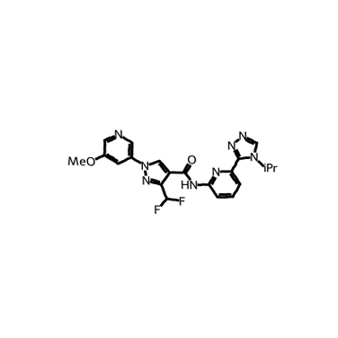 COc1cncc(-n2cc(C(=O)Nc3cccc(-c4nncn4C(C)C)n3)c(C(F)F)n2)c1